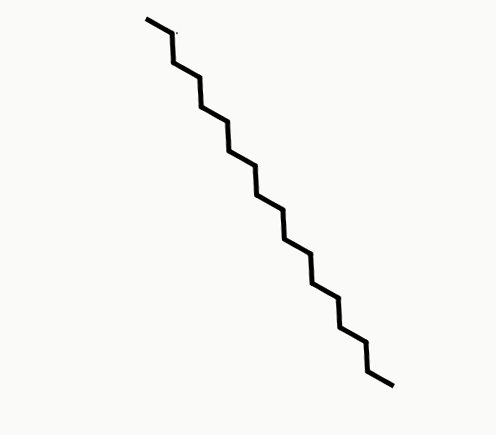 C[CH]CCCCCCCCCCCCCCCC